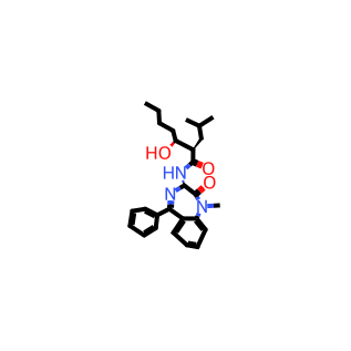 CCCC[C@H](O)[C@@H](CC(C)C)C(=O)N[C@H]1N=C(c2ccccc2)c2ccccc2N(C)C1=O